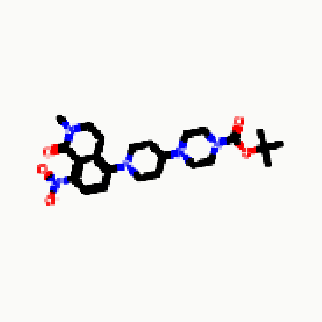 CN1CCc2c(N3CCC(N4CCN(C(=O)OC(C)(C)C)CC4)CC3)ccc([N+](=O)[O-])c2C1=O